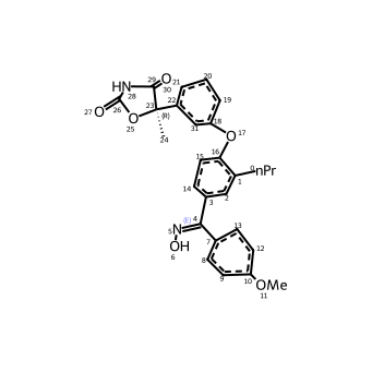 CCCc1cc(/C(=N/O)c2ccc(OC)cc2)ccc1Oc1cccc([C@@]2(C)OC(=O)NC2=O)c1